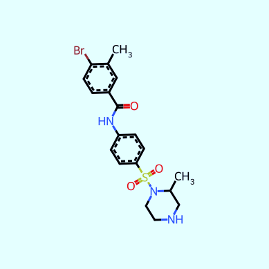 Cc1cc(C(=O)Nc2ccc(S(=O)(=O)N3CCNCC3C)cc2)ccc1Br